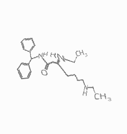 CCNCCCCC(NCC)C(=O)NC(c1ccccc1)c1ccccc1